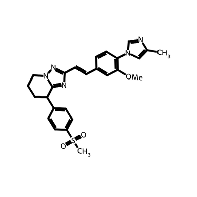 COc1cc(C=Cc2nc3n(n2)CCCC3c2ccc(S(C)(=O)=O)cc2)ccc1-n1cnc(C)c1